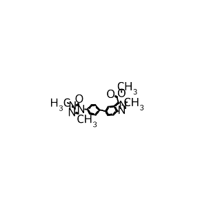 COC(=O)c1c2cc(-c3ccc(-n4c(C)nn(C)c4=O)cc3)ccc2nn1C